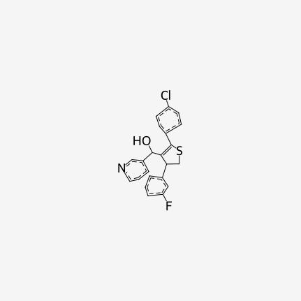 OC(C1=C(c2ccc(Cl)cc2)SCC1c1cccc(F)c1)c1cccnc1